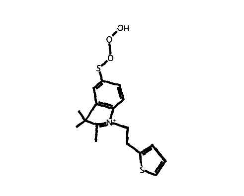 CC1=[N+](CCc2cccs2)c2ccc(SOOO)cc2C1(C)C